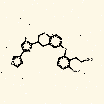 CNc1nccc(Oc2ccc3c(c2)CC(c2nc(-c4ccsc4)c[nH]2)CO3)c1CCC=O